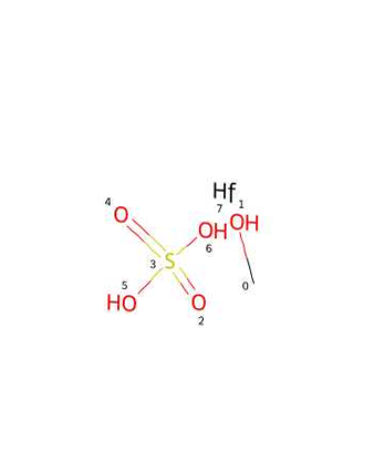 CO.O=S(=O)(O)O.[Hf]